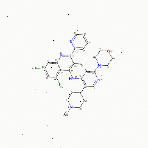 CC(=O)N1CCC(c2cnc(N3CCOCC3)cc2Nc2c(C)c(-c3ccccn3)nc3cc(F)cc(F)c23)CC1